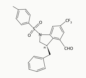 Cc1ccc(S(=O)(=O)N2C[C@H](Cc3ccccc3)c3c(C=O)cc(C(F)(F)F)cc32)cc1